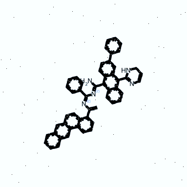 C=C(/N=C(\N=C(/N)c1c2ccccc2c(C2=NC=CCN2)c2cc(-c3ccccc3)ccc12)c1ccccc1)c1cccc2c1ccc1cc3ccccc3cc12